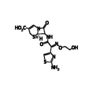 Nc1nc(C(=NOCCO)C(=O)NC2C(=O)N3C=C(C(=O)O)CS[C@H]23)cs1